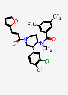 CN(C(=O)c1cc(C(F)(F)F)cc(C(F)(F)F)c1)[C@@H]1CCN(C(=O)/C=C/c2ccco2)C[C@H]1c1ccc(Cl)c(Cl)c1